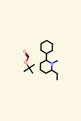 CC(C)(C)OC=O.CCC1CCCC(C2CCCCC2)N1C